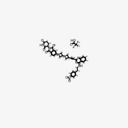 O=C(O)C(F)(F)F.O=C1CCC(N2C(=O)c3ccc(N4CC(N5CC(C#Cc6nc(NCCc7ccc([N+](=O)[O-])cc7)c7ccccc7n6)C5)C4)cc3C2=O)C(=O)N1